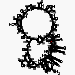 C=C(NC(=O)C(=C)NC(=O)c1csc(C2=NC3c4csc(n4)C4NC(=O)c5csc(n5)C(C(C)(O)C(C)O)NC(=O)C5CSC(=N5)C(=CC)NC(=O)C(C(C)O)NC(=O)c5csc(n5)C3(CC2)NC(=O)C(C)NC(=O)C(=C)NC(=O)C(=C)NC(=O)C(C(C)C)NC2C=Cc3c(C(C)O)cc(nc3C2O)C(=O)OC4C)n1)C(N)=O